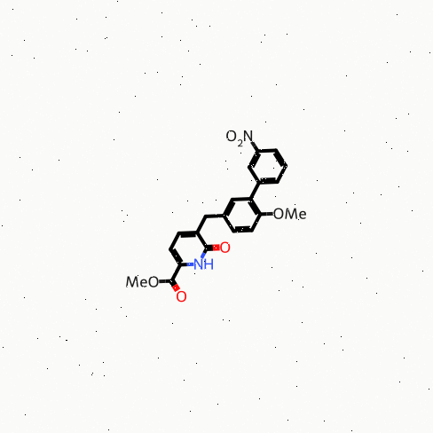 COC(=O)c1ccc(Cc2ccc(OC)c(-c3cccc([N+](=O)[O-])c3)c2)c(=O)[nH]1